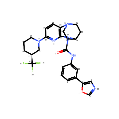 O=C(Nc1cccc(-c2cnco2)c1)N1c2nc(N3CCC[C@H](C(F)(F)F)C3)ccc2N2CCC1CC2